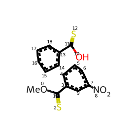 COC(=S)c1cccc([N+](=O)[O-])c1.OC(=S)c1ccccc1